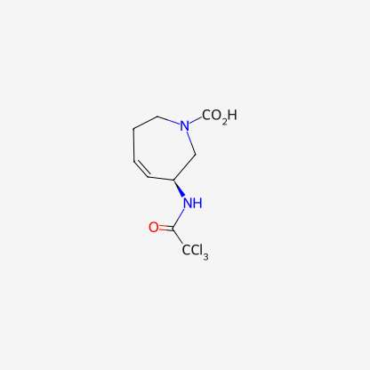 O=C(O)N1CCC=C[C@H](NC(=O)C(Cl)(Cl)Cl)C1